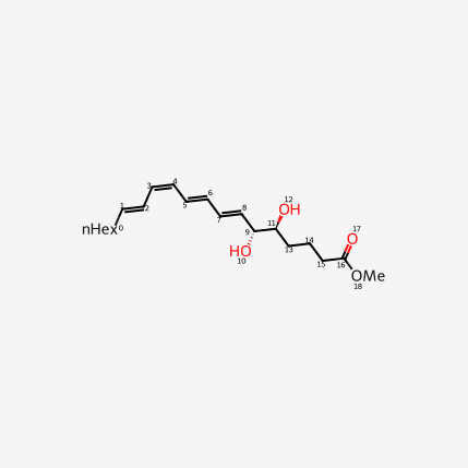 CCCCCC/C=C/C=C\C=C\C=C\[C@@H](O)[C@@H](O)CCCC(=O)OC